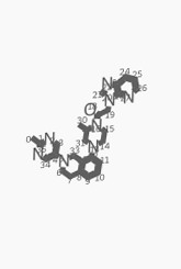 Cc1ncc(N2CCc3cccc(N4CCN(C(=O)Cn5cnc6cccnc65)C(C)C4)c3C2)cn1